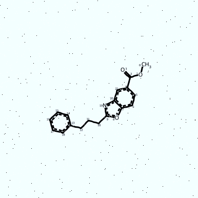 COC(=O)c1ccc2oc(CCCc3ccccc3)nc2c1